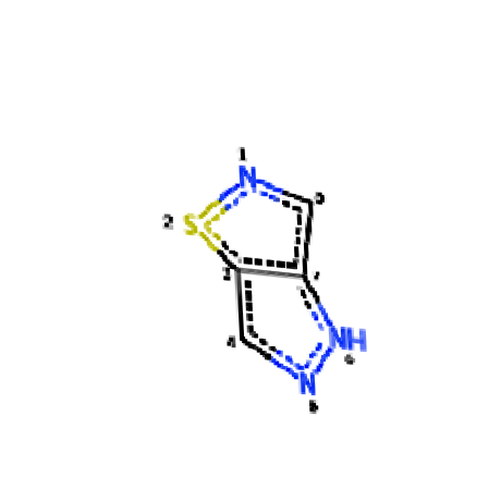 c1nsc2cn[nH]c12